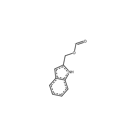 O=[C]OCc1cc2ccccc2[nH]1